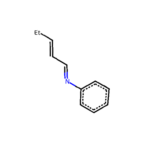 CC/C=C/C=N/c1ccccc1